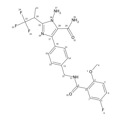 COc1ccc(F)cc1C(=O)NCc1ccc(-c2nc(C(C)C(F)(F)F)n(N)c2C(N)=O)cc1